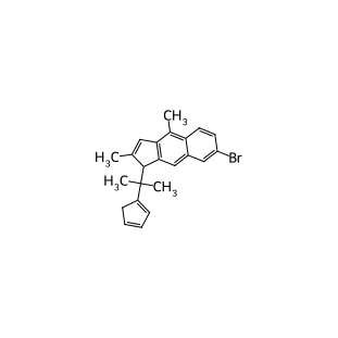 CC1=Cc2c(cc3cc(Br)ccc3c2C)C1C(C)(C)C1=CC=CC1